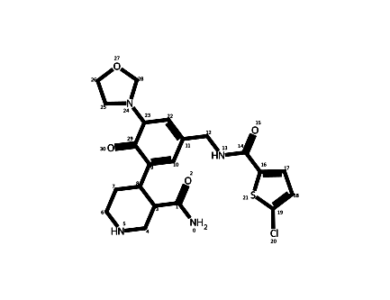 NC(=O)C1CNCCC1C1=CC(CNC(=O)c2ccc(Cl)s2)=CC(N2CCOC2)C1=O